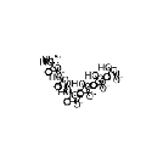 O=C([O-])c1ccccc1C(=O)O.O=C([O-])c1ccccc1C(=O)O.O=C([O-])c1ccccc1C(=O)O.O=C([O-])c1ccccc1C(=O)O.O=C([O-])c1ccccc1C(=O)O.O=C([O-])c1ccccc1C(=O)O.[K+].[Nb+5]